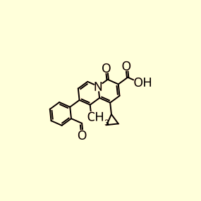 Cc1c(-c2ccccc2C=O)ccn2c(=O)c(C(=O)O)cc(C3CC3)c12